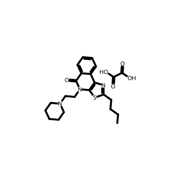 CCCCc1nc2c3ccccc3c(=O)n(CCN3CCCCC3)c2s1.O=C(O)C(=O)O